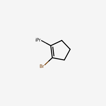 CC(C)C1=C(Br)CCC1